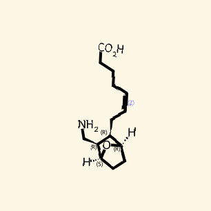 NC[C@H]1[C@@H](C/C=C\CCCC(=O)O)[C@H]2CC[C@@H]1O2